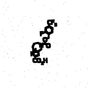 O=C(O)c1cc2n(n1)CCCN(C(=O)OCc1ccc(C(F)(F)F)cc1F)C2